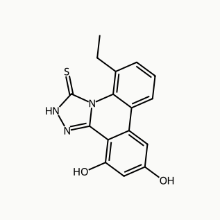 CCc1cccc2c3cc(O)cc(O)c3c3n[nH]c(=S)n3c12